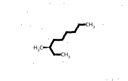 [CH2][C@H](CC)CCCCCC